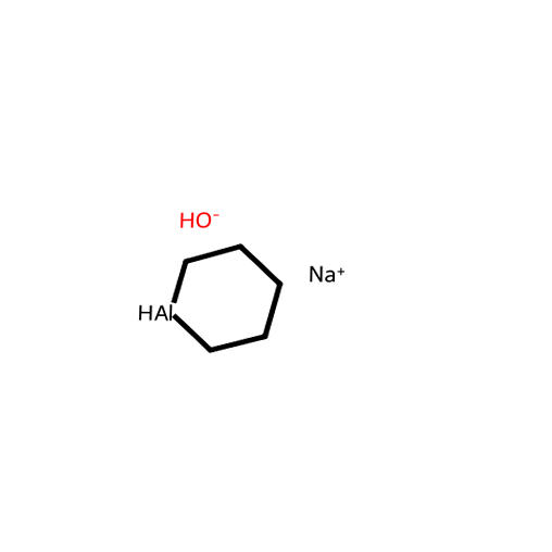 C1C[CH2][AlH][CH2]C1.[Na+].[OH-]